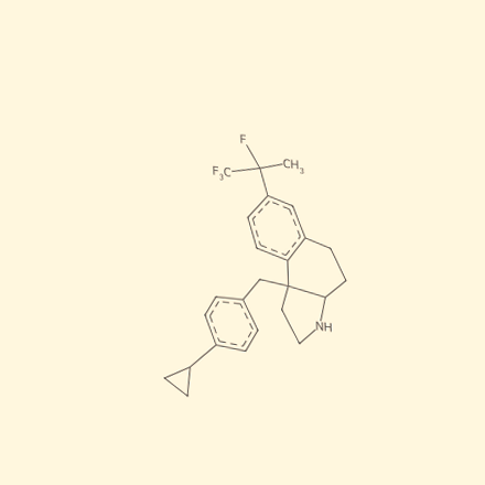 CC(F)(c1ccc2c(c1)CCC1NCCC21Cc1ccc(C2CC2)cc1)C(F)(F)F